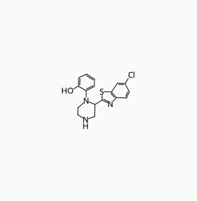 Oc1ccccc1N1CCNCC1c1nc2ccc(Cl)cc2s1